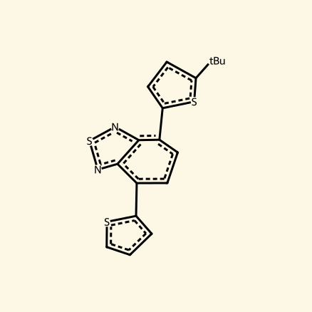 CC(C)(C)c1ccc(-c2ccc(-c3cccs3)c3nsnc23)s1